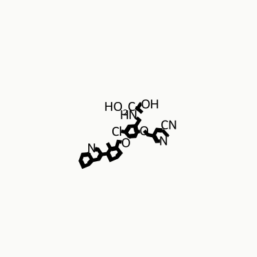 Cc1c(COc2cc(OCc3cncc(C#N)c3)c(CNC(C)(CO)C(=O)O)cc2Cl)cccc1-c1cnc2ccccc2c1